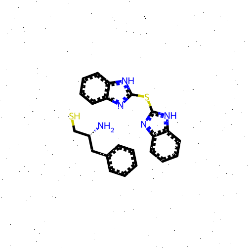 N[C@@H](CS)Cc1ccccc1.c1ccc2[nH]c(Sc3nc4ccccc4[nH]3)nc2c1